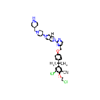 CC(C)(c1ccc(OCc2ccnc(N3CC4CN(C5CCN(CC6CCNCC6)CC5)C[C@@H]4C3)n2)cc1)c1cc(Cl)c(OCCCl)c(C#N)c1